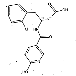 O=C(O)C[C@@H](Cc1ccccc1Cl)NC(=O)c1cnc(O)nc1